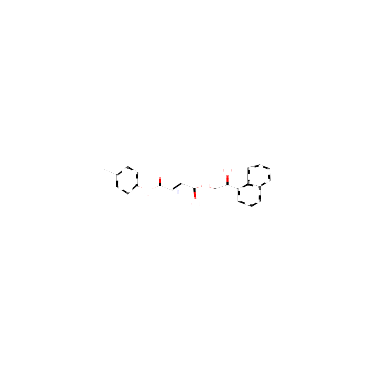 Cc1ccc(OC(=O)/C=C/C(=O)OCC(=O)c2cccc3ccccc23)cc1